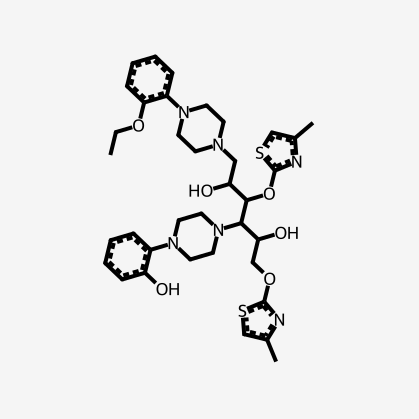 CCOc1ccccc1N1CCN(CC(O)C(Oc2nc(C)cs2)C(C(O)COc2nc(C)cs2)N2CCN(c3ccccc3O)CC2)CC1